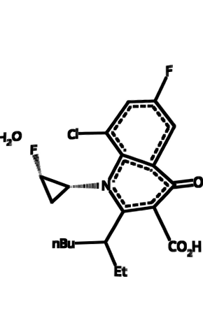 CCCCC(CC)c1c(C(=O)O)c(=O)c2cc(F)cc(Cl)c2n1[C@@H]1C[C@@H]1F.O